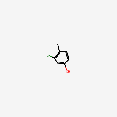 Cc1c[c]c(O)cc1Cl